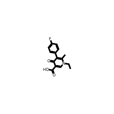 CCn1cc(C(=O)O)c(=O)c(-c2ccc(F)cc2)c1C